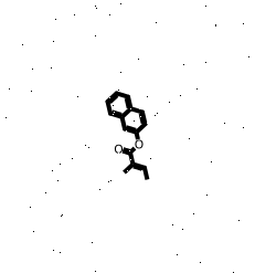 CC=C(C)C(=O)Oc1ccc2ccccc2c1